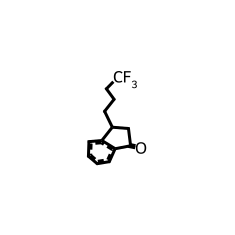 O=C1CC(CCCC(F)(F)F)c2ccccc21